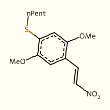 CCCCCSc1cc(OC)c(/C=C/[N+](=O)[O-])cc1OC